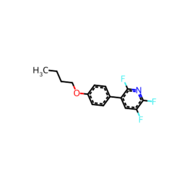 CCCCOc1ccc(-c2cc(F)c(F)nc2F)cc1